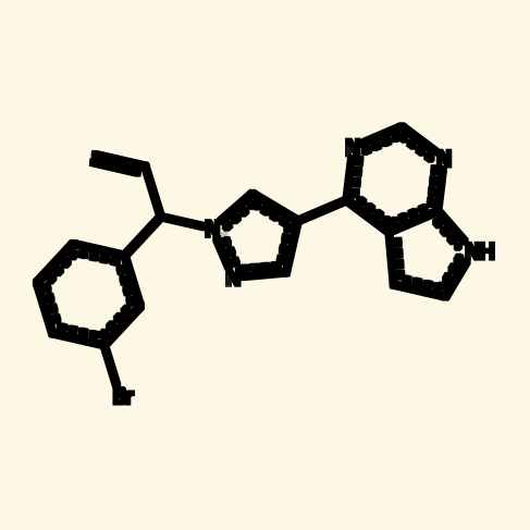 C=CC(c1cccc(Br)c1)n1cc(-c2ncnc3[nH]ccc23)cn1